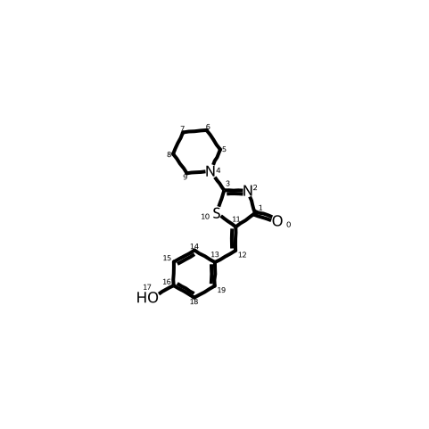 O=C1N=C(N2CCCCC2)S/C1=C\c1ccc(O)cc1